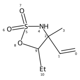 C=CC1(C)NS(=O)(=O)OC1CC